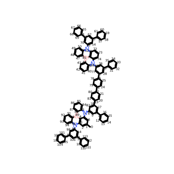 Cc1cc2c3c(c1)N(c1cc(-c4ccccc4)cc(-c4ccc(-c5ccc(-c6cc(-c7ccccc7)cc(N7c8ccccc8B8c9ccccc9N(c9cc(-c%10ccccc%10)cc(-c%10ccccc%10)c9)c9cccc7c98)c6)cc5)cc4)c1)c1ccccc1B3c1ccccc1N2c1cc(-c2ccccc2)cc(-c2ccccc2)c1